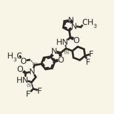 CCn1nccc1C(=O)N[C@H](c1nc2cc([C@@H](COC)N3C[C@@H](C(F)F)NC3=O)ccc2o1)C1CCC(F)(F)CC1